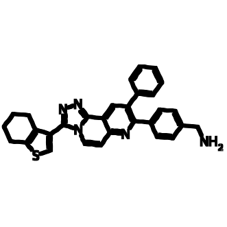 NCc1ccc(-c2nc3ccn4c(-c5csc6c5CCCC6)nnc4c3cc2-c2ccccc2)cc1